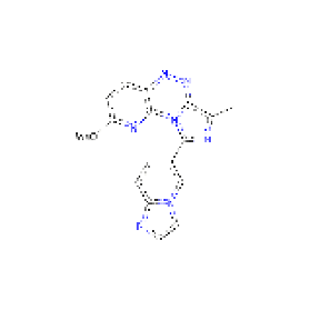 COc1ccc2nnc3c(C)nc(-c4ccc5nccn5c4)n3c2n1